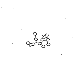 c1ccc(-c2ccc(N(c3ccc4oc5ccccc5c4c3)c3ccc4c5ccccc5c5ccccc5c5ccccc5c5c(ccc6sc7ccccc7c65)c4c3)cc2)cc1